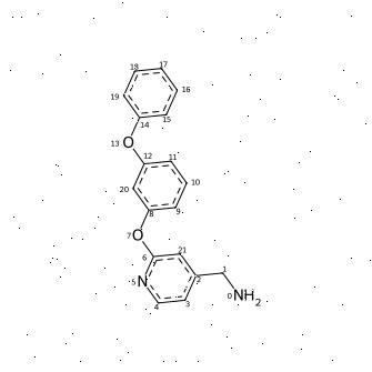 NCc1ccnc(Oc2cccc(Oc3ccccc3)c2)c1